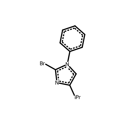 CC(C)c1cn(-c2ccccc2)c(Br)n1